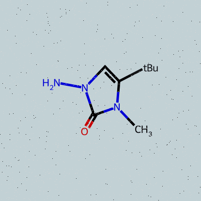 Cn1c(C(C)(C)C)cn(N)c1=O